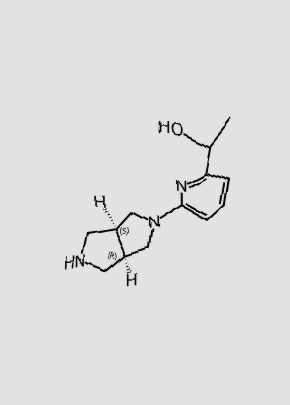 CC(O)c1cccc(N2C[C@H]3CNC[C@H]3C2)n1